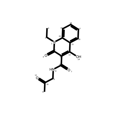 CCn1c(=O)c(C(=O)NCC(C)=O)c(O)c2ccccc21